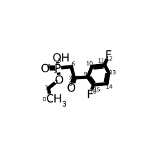 CCOP(=O)(O)CC(=O)c1cc(F)ccc1F